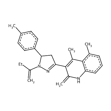 C=C1Nc2cccc(C)c2C(C)=C1C1=NN(C(=C)CC)C(c2ccc(C)cc2)C1